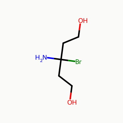 NC(Br)(CCO)CCO